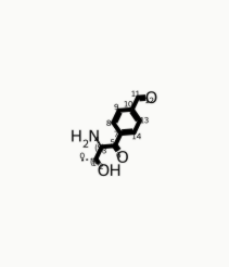 C[C@@H](O)[C@H](N)C(=O)c1ccc(C=O)cc1